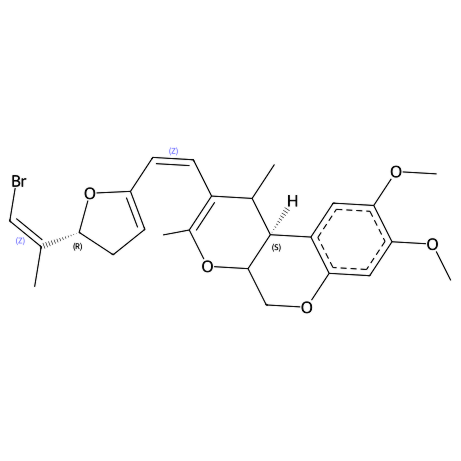 COc1cc2c(cc1OC)[C@H]1C(CO2)OC(C)=C(/C=C\C2=CC[C@H](/C(C)=C\Br)O2)C1C